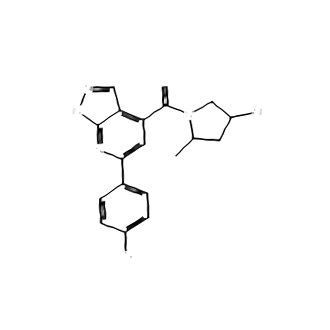 CC1CC(N)CN1C(=O)c1cc(-c2ccc(O)cc2)nc2[nH]ncc12